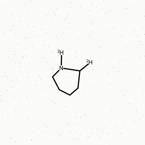 [2H]C1CCCCN1[2H]